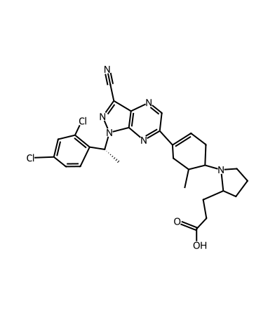 CC1CC(c2cnc3c(C#N)nn([C@H](C)c4ccc(Cl)cc4Cl)c3n2)=CCC1N1CCCC1CCC(=O)O